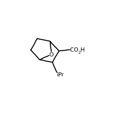 CC(C)C1C2CCC(O2)C1C(=O)O